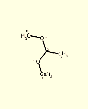 COC(C)[O][GeH3]